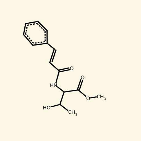 COC(=O)C(NC(=O)C=Cc1ccccc1)C(C)O